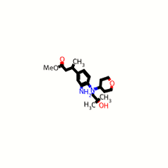 COC(=O)CC(C)c1ccc(N(CC(C)(C)O)C2CCOCC2)c(N)c1